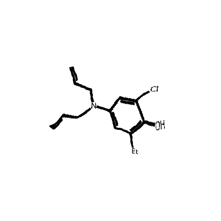 C=CCN(CC=C)c1cc(Cl)c(O)c(CC)c1